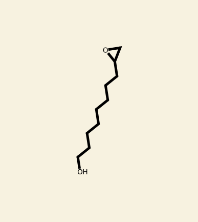 OCCCCCCCCC1CO1